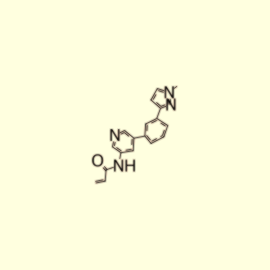 C=CC(=O)Nc1cncc(-c2cccc(-c3ccn(C)n3)c2)c1